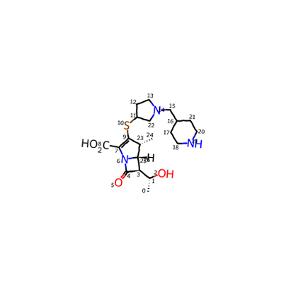 C[C@@H](O)[C@H]1C(=O)N2C(C(=O)O)=C(SC3CCN(CC4CCNCC4)C3)[C@H](C)[C@H]12